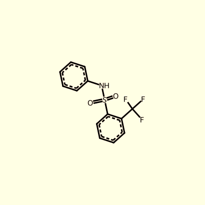 O=S(=O)(Nc1ccccc1)c1ccccc1C(F)(F)F